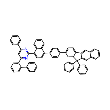 c1ccc(-c2cc(-c3ccccc3-c3ccccc3)nc(-c3ccc(-c4ccc(-c5ccc6c(c5)C(c5ccccc5)(c5ccccc5)c5cc7ccccc7cc5-6)cc4)c4ccccc34)n2)cc1